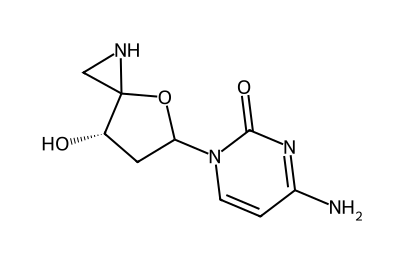 Nc1ccn(C2C[C@H](O)C3(CN3)O2)c(=O)n1